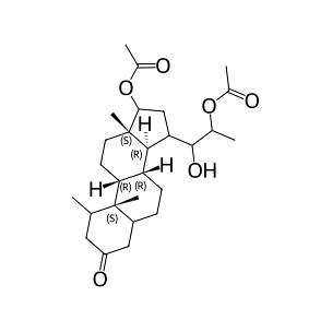 CC(=O)OC(C)C(O)C1CC(OC(C)=O)[C@@]2(C)CC[C@@H]3[C@@H](CCC4CC(=O)CC(C)[C@@]43C)[C@H]12